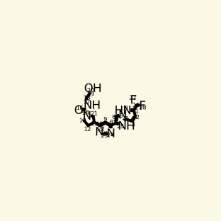 N=C(/C=C\c1ncc(-c2cc(C3CCN(C(=O)NCCO)C3)ncn2)[nH]1)C(F)F